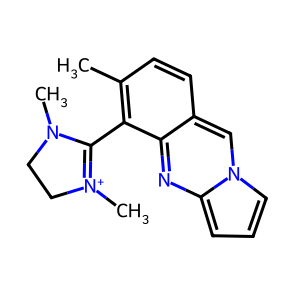 Cc1ccc2cn3cccc3nc2c1C1=[N+](C)CCN1C